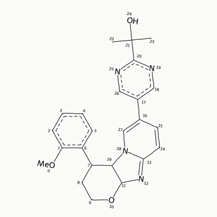 COc1ccccc1C1CCOC2N=C3C=CC(c4cnc(C(C)(C)O)nc4)=CN3C21